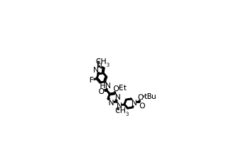 CCOc1nc(N(C)C2CCN(C(=O)OC(C)(C)C)CC2)ncc1C(=O)Nc1cc(F)c2nn(C)cc2c1